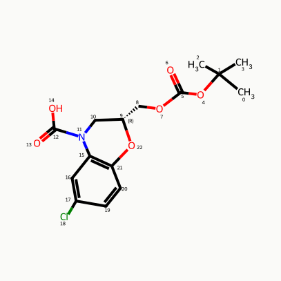 CC(C)(C)OC(=O)OC[C@H]1CN(C(=O)O)c2cc(Cl)ccc2O1